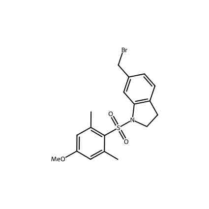 COc1cc(C)c(S(=O)(=O)N2CCc3ccc(CBr)cc32)c(C)c1